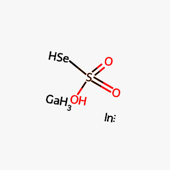 O=S(=O)(O)[SeH].[GaH3].[In]